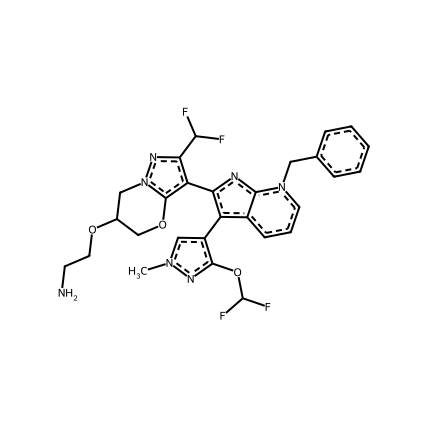 Cn1cc(-c2c3cccn(Cc4ccccc4)c-3nc2-c2c(C(F)F)nn3c2OCC(OCCN)C3)c(OC(F)F)n1